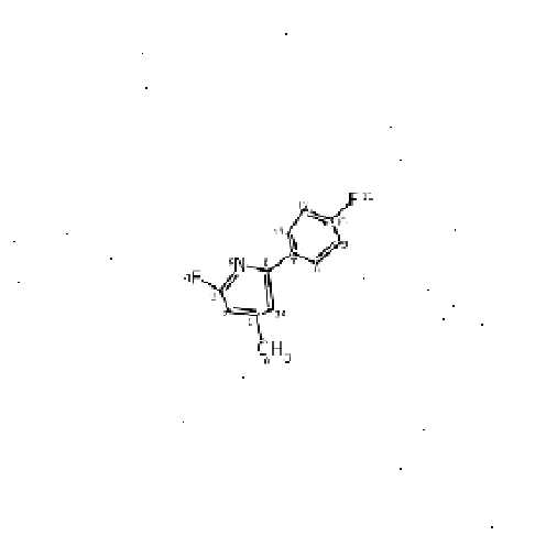 Cc1cc(F)nc(-c2ccc(F)cc2)c1